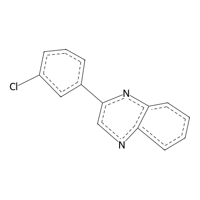 Clc1cccc(-c2cnc3ccccc3n2)c1